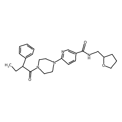 CCC(C(=O)N1CCN(c2ccc(C(=O)NCC3CCCO3)cn2)CC1)c1ccccc1